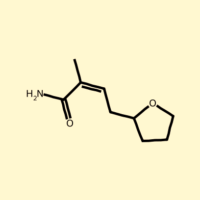 CC(=CCC1CCCO1)C(N)=O